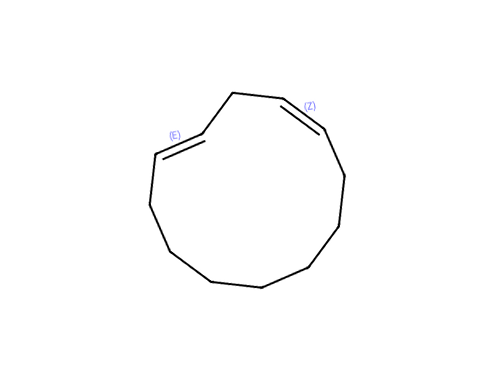 C1=C\CCCCCCC/C=C/C/1